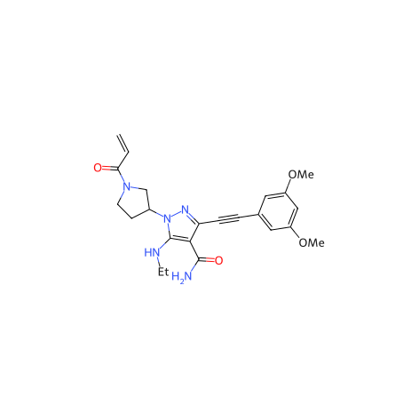 C=CC(=O)N1CCC(n2nc(C#Cc3cc(OC)cc(OC)c3)c(C(N)=O)c2NCC)C1